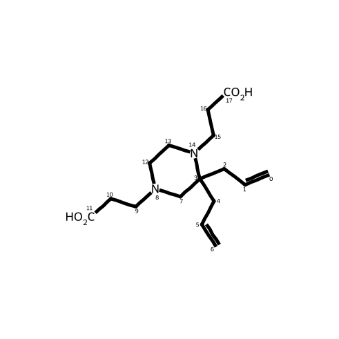 C=CCC1(CC=C)CN(CCC(=O)O)CCN1CCC(=O)O